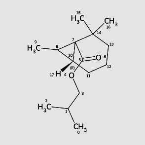 CC(C)COC(=O)C12C(C)[C@H]1CCCC2(C)C